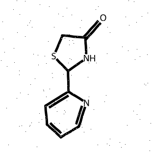 O=C1CSC(c2ccccn2)N1